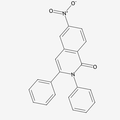 O=c1c2ccc([N+](=O)[O-])cc2cc(-c2ccccc2)n1-c1ccccc1